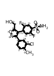 Cc1ccc(-c2noc(CO)c2-c2cc(F)c(S(N)(=O)=O)cc2F)cc1Cl